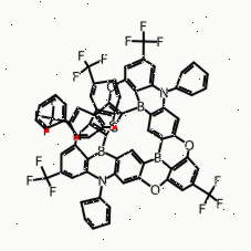 FC(F)(F)c1cc2c3c(c1)Oc1cc4c(cc1B3c1cc3c(cc1O2)N(c1ccccc1)c1cc(C(F)(F)F)cc2c1B3c1sc3ccc(C(F)(F)F)cc3c1O2)B1c2sc3ccc(C(F)(F)F)cc3c2N(c2ccccc2)c2cc(C(F)(F)F)cc(c21)N4c1ccccc1